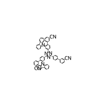 N#Cc1cccc(-c2ccc(-c3nc(-c4ccc(-c5cccc(C#N)c5)c(-n5c6ccccc6c6ccccc65)c4)nc(-c4ccc(-c5cccc(C#N)c5)c(-n5c6ccccc6c6ccccc65)c4)n3)cc2)c1